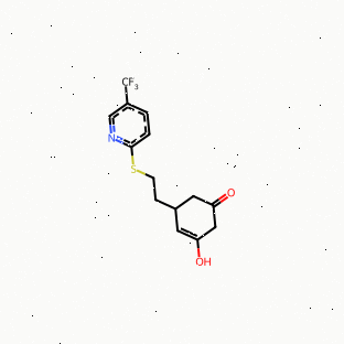 O=C1CC(O)=CC(CCSc2ccc(C(F)(F)F)cn2)C1